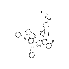 CCOC(=O)[C@H]1CC[C@H](n2ncc(C(=O)N(Cc3cc(F)cc(F)c3)CC(O)c3c(OCc4ccccc4)nc(OCc4ccccc4)nc3OCc3ccccc3)c2C(F)(F)F)CC1